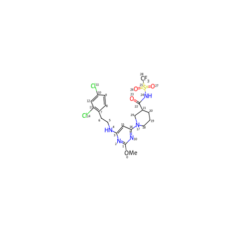 COc1nc(NCCc2ccc(Cl)cc2Cl)cc(N2CCCC(C(=O)NS(=O)(=O)C(F)(F)F)C2)n1